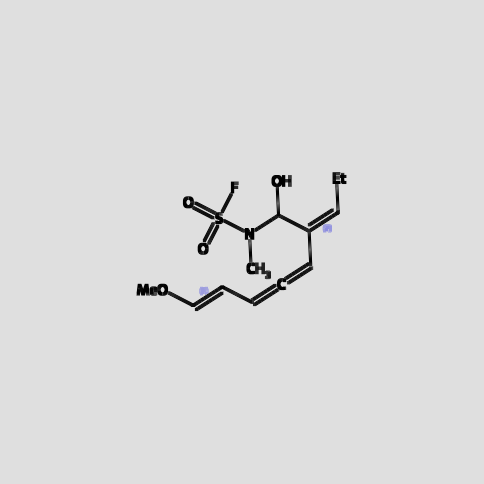 CC/C=C(/C=C=C/C=C/OC)C(O)N(C)S(=O)(=O)F